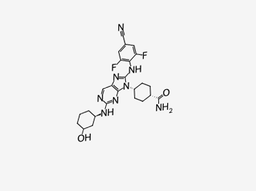 N#Cc1cc(F)c(Nc2nc3cnc(N[C@@H]4CCCC(O)C4)nc3n2[C@H]2CC[C@@H](C(N)=O)CC2)c(F)c1